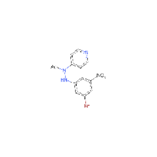 CC(=O)N(Nc1cc(Br)cc([N+](=O)[O-])c1)c1ccncc1